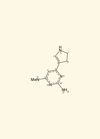 CNc1cc(C2=CNCC2)nc(N)n1